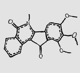 COc1cc2c(c(OC)c1OC)C(=O)c1c-2n(C)c(=O)c2ccccc12